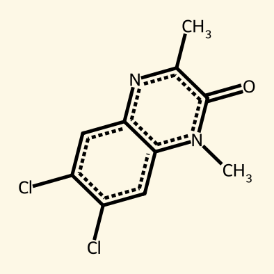 Cc1nc2cc(Cl)c(Cl)cc2n(C)c1=O